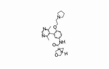 Cc1ncnc(C)c1-c1cc(NC(=O)[C@@]23COC[C@@H]2C3)ccc1OCCN1CCCC1